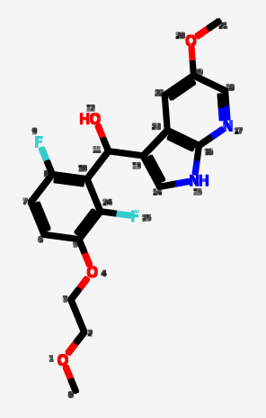 COCCOc1ccc(F)c(C(O)c2c[nH]c3ncc(OC)cc23)c1F